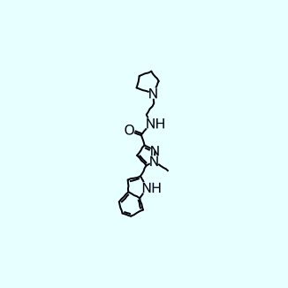 Cn1nc(C(=O)NCCN2CCCC2)cc1-c1cc2ccccc2[nH]1